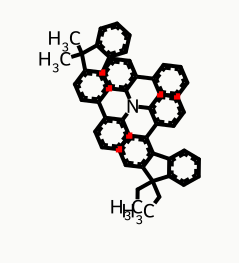 CCC1(CC)c2ccccc2-c2c(-c3ccccc3N(c3ccccc3-c3ccccc3)c3ccccc3-c3ccc4c(c3)-c3ccccc3C4(C)C)cccc21